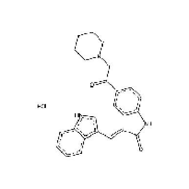 Cl.O=C1Nc2ccc(C(=O)CN3CCCCC3)cc2/C1=C\c1c[nH]c2ccccc12